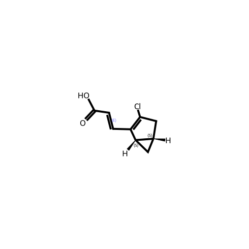 O=C(O)/C=C/C1=C(Cl)C[C@@H]2C[C@H]12